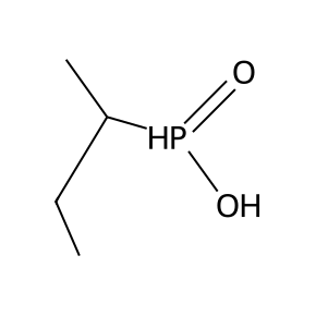 CCC(C)[PH](=O)O